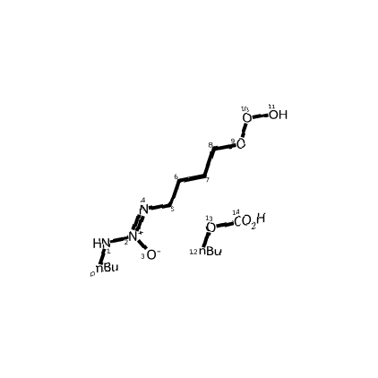 CCCCN[N+]([O-])=NCCCCOOO.CCCCOC(=O)O